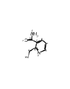 NC(=O)c1cccnc1CI